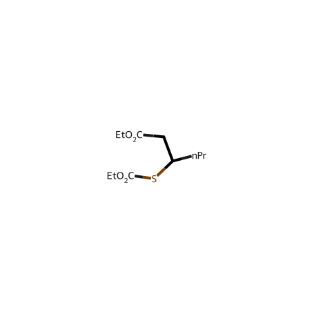 CCCC(CC(=O)OCC)SC(=O)OCC